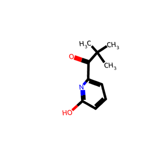 CC(C)(C)C(=O)c1cccc(O)n1